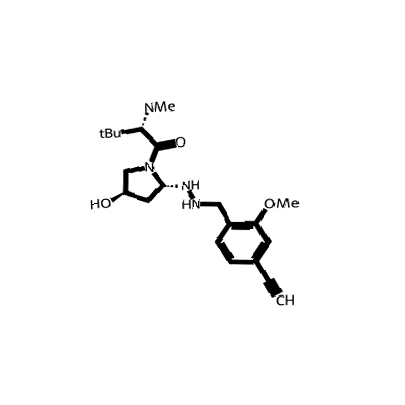 C#Cc1ccc(CNN[C@@H]2C[C@@H](O)CN2C(=O)[C@@H](NC)C(C)(C)C)c(OC)c1